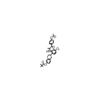 COc1ccc(C2CCc3cc(OC(=O)C(C)(C)C)ccc3C2)c(NC(C)C(=O)c2ccc(OC(C)=O)cc2)c1